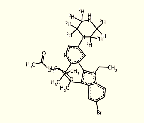 [2H]C1([2H])NC([2H])([2H])C([2H])([2H])N(c2cnc([C@H](C)OC)c(-c3c(CC(C)(C)COC(C)=O)c4cc(Br)ccc4n3CC)c2)C1([2H])[2H]